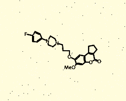 COc1cc2oc(=O)c3c(c2cc1OCCCN1CCN(c2ccc(F)cc2)CC1)CCC3